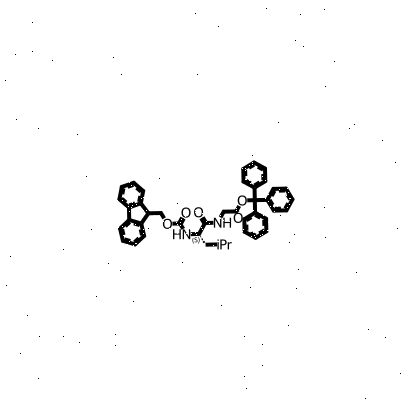 CC(C)C[C@H](NC(=O)OCC1c2ccccc2-c2ccccc21)C(=O)NCC(=O)OC(c1ccccc1)(c1ccccc1)c1ccccc1